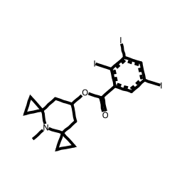 CN1C2(CC2)CC(OC(=O)c2cc(I)cc(I)c2I)CC12CC2